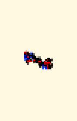 CC(C)(C)OC(=O)N1CCOC[C@H]1c1ncc(-c2ccc3cc(-c4ccc5nc([C@@H]6COCCN6C(=O)OC(C)(C)C)[nH]c5c4)ccc3c2)[nH]1